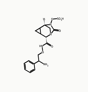 NC(CONC(=O)[C@@H]1C2CC2[C@@H]2CN1C(=O)N2OS(=O)(=O)O)c1ccccc1